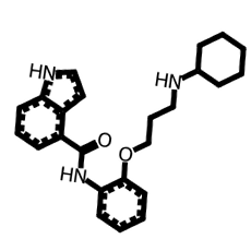 O=C(Nc1ccccc1OCCCNC1CCCCC1)c1cccc2[nH]ccc12